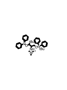 CC(C)(C)C(O[SiH](c1ccccc1)c1ccccc1)C(N)CO[Si](c1ccccc1)(c1ccccc1)C(C)(C)C.[CH3][Al]([CH3])[CH3]